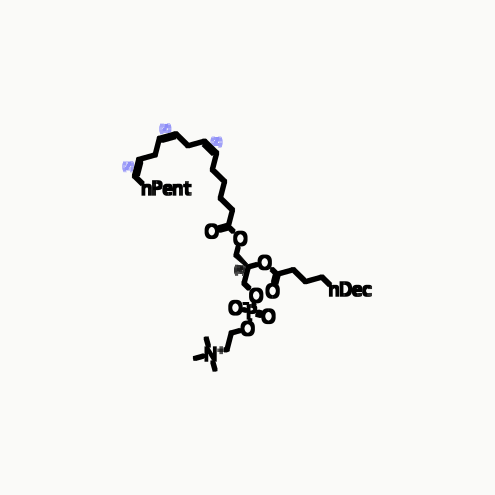 CCCCC/C=C\C/C=C\C/C=C\CCCCC(=O)OC[C@H](COP(=O)([O-])OCC[N+](C)(C)C)OC(=O)CCCCCCCCCCCCC